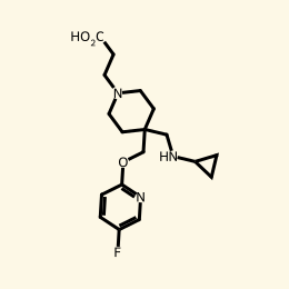 O=C(O)CCN1CCC(CNC2CC2)(COc2ccc(F)cn2)CC1